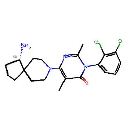 Cc1c(N2CCC3(CCC[C@@H]3N)CC2)nc(C)n(-c2cccc(Cl)c2Cl)c1=O